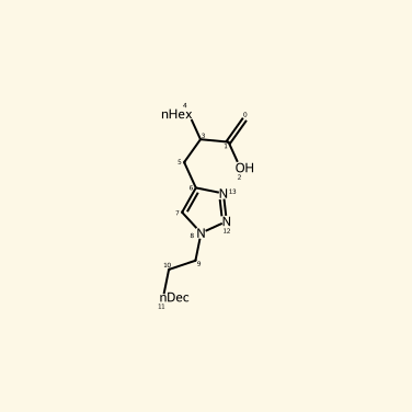 C=C(O)C(CCCCCC)Cc1cn(CCCCCCCCCCCC)nn1